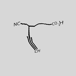 C#CC(C#N)CC(=O)O